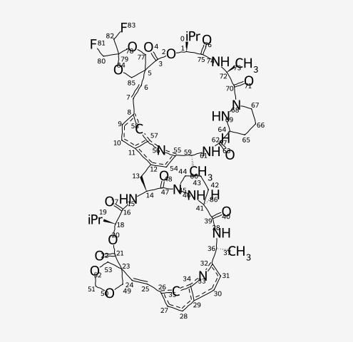 CC(C)[C@@H]1OC(=O)C2(/C=C/c3ccc4c(C[C@@H]5NC(=O)[C@H](C(C)C)OC(=O)C6(/C=C/c7ccc8ccc(nc8c7)[C@@H](C)NC(=O)[C@@H]7CCCN(N7)C5=O)COCOC6)cc(nc4c3)[C@@H](C)NC(=O)[C@@H]3CCCN(N3)C(=O)[C@H](C)NC1=O)COC(CF)(CF)OC2